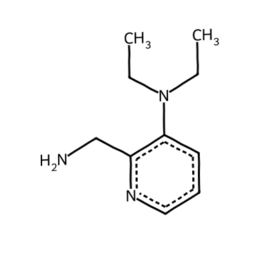 CCN(CC)c1cccnc1CN